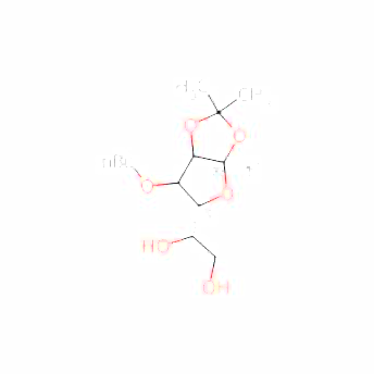 CCCCOC1C2OC(C)(C)O[C@H]2O[C@@H]1C(O)CO